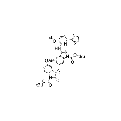 CCOc1cnc(-c2nccs2)nc1Nc1nn(C(=O)OC(C)(C)C)c2cc([C@@H]3C[C@@]34C(=O)N(C(=O)OC(C)(C)C)c3ccc(OC)cc34)ccc12